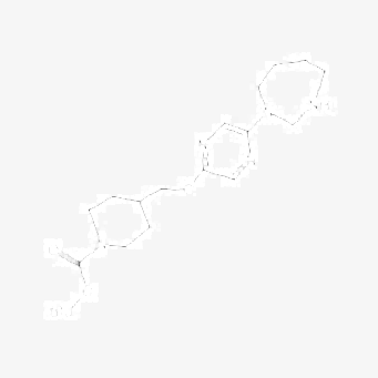 CC(C)(C)OC(=O)N1CCC(COc2cnc(N3CCCCNC3)cn2)CC1